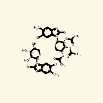 CC(=O)O[C@@H]1[C@H](OC(C)=O)[C@H](OC(C)=O)CO[C@H]1n1c(Br)nc2cc(C)c(Cl)cc21.Cc1cc2nc(Br)n([C@@H]3OC[C@@H](O)[C@@H](O)[C@H]3O)c2cc1Cl